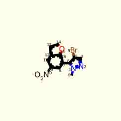 Cn1ncc(Br)c1-c1cc([N+](=O)[O-])cc2ccoc12